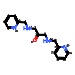 O=C(CNCc1ccccn1)CNCc1ccccn1